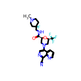 CN1CCC(F)(CNC(=O)[C@@H]2CN(c3cnc(C#N)c4ncccc34)C[C@H](C(F)(F)F)O2)CC1